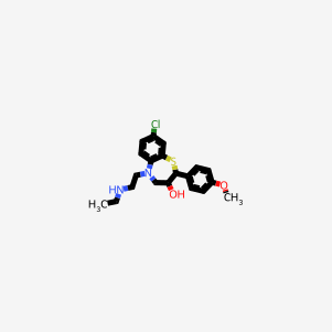 CCNCCN1CC(O)C(c2ccc(OC)cc2)Sc2cc(Cl)ccc21